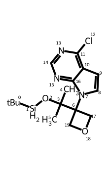 CC(C)(C)[SiH2]OC(C)(C)C1(n2ccc3c(Cl)ncnc32)COC1